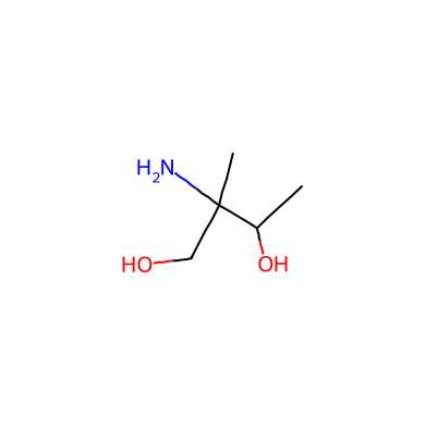 CC(O)C(C)(N)CO